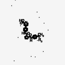 CC(C)c1ccc(NC(=O)N2CCC[C@H]2C(=O)Nc2ccc(-c3ccnc(C(=O)O)c3)cc2)cc1